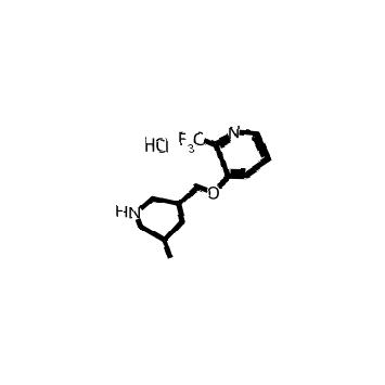 CC1CNCC(COc2cccnc2C(F)(F)F)C1.Cl